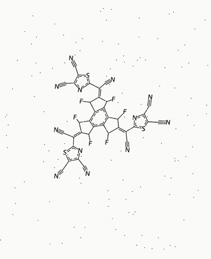 N#CC(=C1C(F)c2c3c(c4c(c2C1F)C(F)C(=C(C#N)c1nc(C#N)c(C#N)s1)C4F)C(F)C(=C(C#N)c1nc(C#N)c(C#N)s1)C3F)c1nc(C#N)c(C#N)s1